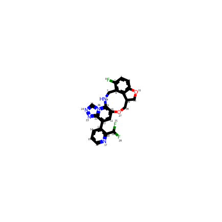 Fc1ccc2c3c1CNc1c(cc(-c4cccnc4C(F)F)c4nncn14)OCC3CO2